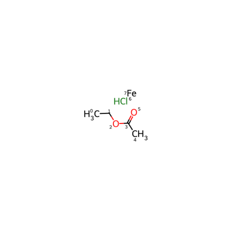 CCOC(C)=O.Cl.[Fe]